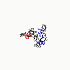 CCCCc1nc2ccc(NC(=S)NC3CCCCC3)cc2n1Cc1ccc(-c2ccccc2OC(=O)OC(C)(C)C)cc1